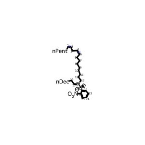 CCCCC/C=C\C/C=C\CCCCCCCCN(CCCCCCCCCCCC)S(=O)(=O)c1ccccc1[N+](=O)[O-]